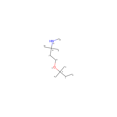 CCC(C)(C)OCCC(C)(C)NC